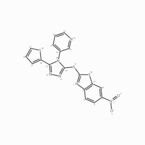 O=[N+]([O-])c1ccc2nc(Sc3nnc(-c4cccs4)n3-c3cccnc3)sc2c1